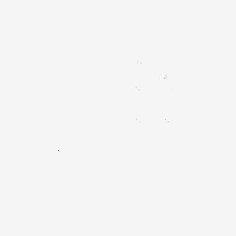 Nc1nc2c(ncn2[C@@H]2O[C@H](CO[P@@](=O)(O)S)C[C@@H]2I)c(=O)[nH]1